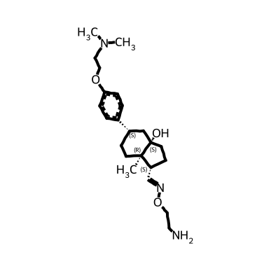 CN(C)CCOc1ccc([C@H]2CC[C@]3(C)[C@@H](C=NOCCN)CC[C@]3(O)C2)cc1